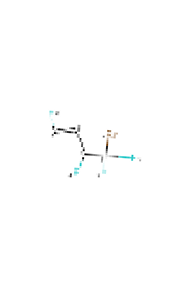 FC=CC(F)C(F)(F)Br